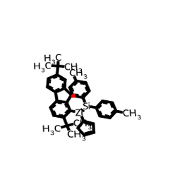 Cc1ccc([Si](c2ccc(C)cc2)=[Zr]([C]2=CC=CC2)[c]2c(C(C)(C)C)ccc3c2Cc2cc(C(C)(C)C)ccc2-3)cc1